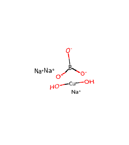 [Na+].[Na+].[Na+].[O-]B([O-])[O-].[OH][Cu][OH]